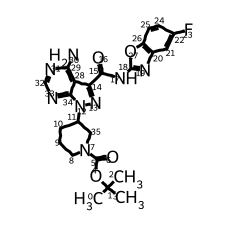 CC(C)(C)OC(=O)N1CCCC(n2nc(C(=O)Nc3nc4cc(F)ccc4o3)c3c(N)ncnc32)C1